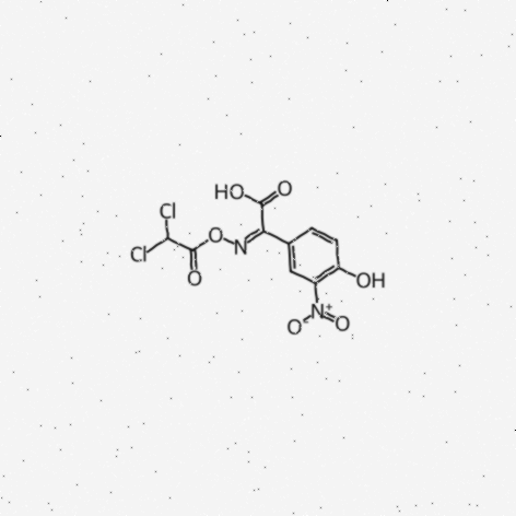 O=C(O)C(=NOC(=O)C(Cl)Cl)c1ccc(O)c([N+](=O)[O-])c1